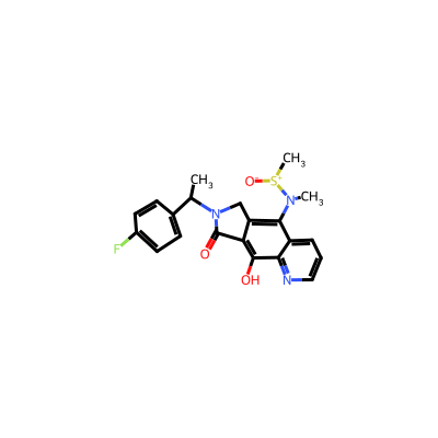 CC(c1ccc(F)cc1)N1Cc2c(c(O)c3ncccc3c2N(C)[S+](C)[O-])C1=O